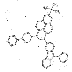 CC(C)(C)c1cc2ccc3c4c(ccc(c1)c24)=C(C1C=CC(c2cccnc2)=CC1)CC3c1ccc2c(c1)c1ccccc1n2-c1ccccc1